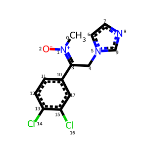 C[N+]([O-])=C(Cn1ccnc1)c1ccc(Cl)c(Cl)c1